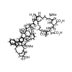 CC[C@]1(O)C[C@H]2CN(CCc3c([nH]c4ccccc34)[C@@](C(=O)OC)(c3cc4c(cc3OC)N(C)[C@H]3[C@@](O)(C(=O)NNC(=O)OC(C)C(C)SSC[C@H](NC(=O)[C@H](CC(=O)O)NC(=O)[C@H](CC(=O)O)NC(=O)[C@H](CCCNC(=N)N)NC)C(=O)O)[C@H](O)[C@]5(CC)C=CCN6CC[C@]43[C@@H]65)C2)C1